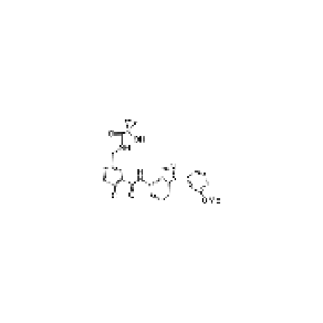 COc1cc(-n2ncc3c(NC(=O)c4cc(CNC(=O)C5(O)CC5)ccc4Cl)cccc32)ccn1